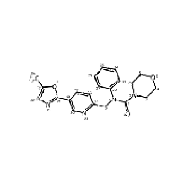 O=C(N1CCOCC1)N(Cc1ccc(-c2nnc(C(F)(F)F)o2)cn1)c1ccccc1